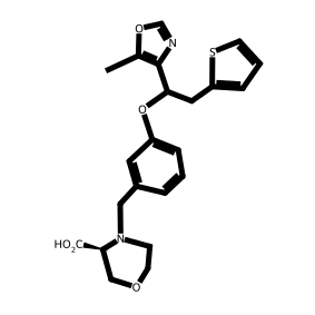 Cc1ocnc1C(Cc1cccs1)Oc1cccc(CN2CCOC[C@H]2C(=O)O)c1